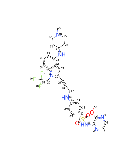 COc1nccnc1NS(=O)(=O)c1ccc(NCC#Cc2cc3c(NC4CCN(C)CC4)cccc3n2CC(F)(F)F)cc1